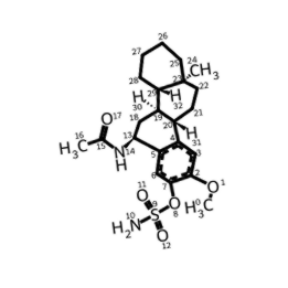 COc1cc2c(cc1OS(N)(=O)=O)[C@@H](NC(C)=O)C[C@@H]1[C@@H]2CC[C@]2(C)CCCC[C@@H]12